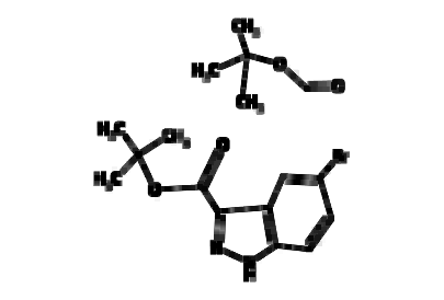 CC(C)(C)OC(=O)c1n[nH]c2ccc(Br)cc12.CC(C)(C)OC=O